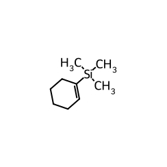 C[Si](C)(C)C1=CCCCC1